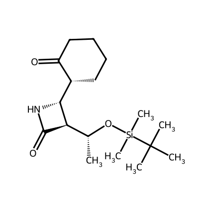 C[C@@H](O[Si](C)(C)C(C)(C)C)[C@H]1C(=O)N[C@@H]1[C@H]1CCCCC1=O